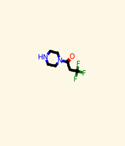 O=C(CC(F)(F)F)N1CCNCC1